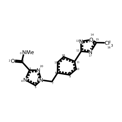 CNC(=O)c1ncn(Cc2ccc(-c3noc(C(F)(F)F)n3)cc2)n1